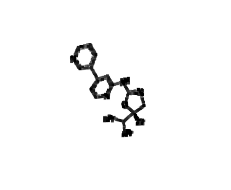 CCCC(CCC)[C@@]1(CC)CN=C(Nc2cc(-c3cccnc3)ccn2)O1